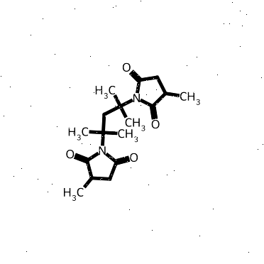 CC1CC(=O)N(C(C)(C)CC(C)(C)N2C(=O)CC(C)C2=O)C1=O